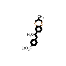 CCOC(=O)c1ccc(C=C(C)c2ccc3c(c2)SCC(C)CS3)cc1